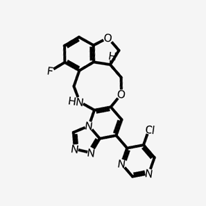 Fc1ccc2c3c1CNc1c(cc(-c4ncncc4Cl)c4nncn14)OC[C@H]3CO2